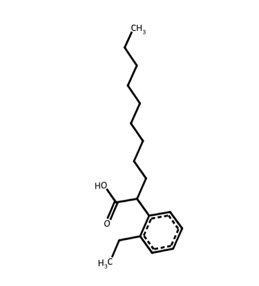 CCCCCCCCCC(C(=O)O)c1ccccc1CC